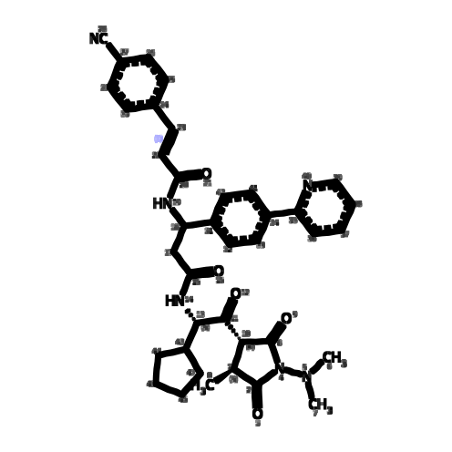 C[C@@H]1C(=O)N(N(C)C)C(=O)[C@H]1C(=O)[C@@H](NC(=O)CC(NC(=O)/C=C/c1ccc(C#N)cc1)c1ccc(-c2ccccn2)cc1)C1CCCC1